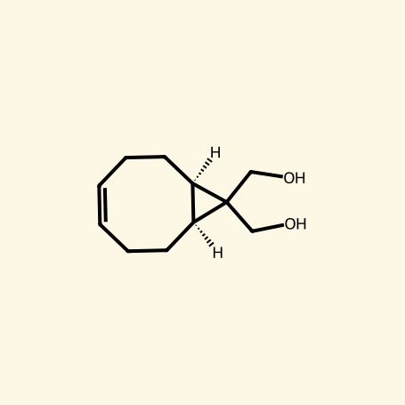 OCC1(CO)[C@@H]2CC/C=C\CC[C@@H]21